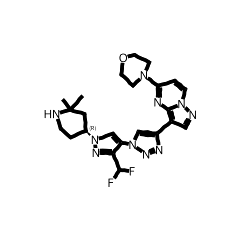 CC1(C)C[C@H](n2cc(-n3cc(-c4cnn5ccc(N6CCOCC6)nc45)nn3)c(C(F)F)n2)CCN1